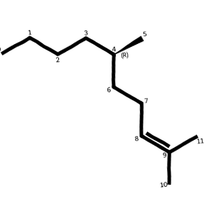 CCCC[C@@H](C)CCC=C(C)C